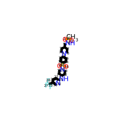 CS(=O)(=O)NCC1CCN(c2ccc(S(=O)(=O)N3CCC(Nc4ccc(C(F)(F)F)cn4)CC3)cc2)CC1